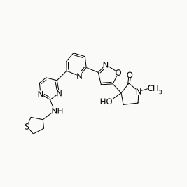 CN1CCC(O)(c2cc(-c3cccc(-c4ccnc(NC5CCSC5)n4)n3)no2)C1=O